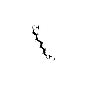 CC=CC=CCC=CC